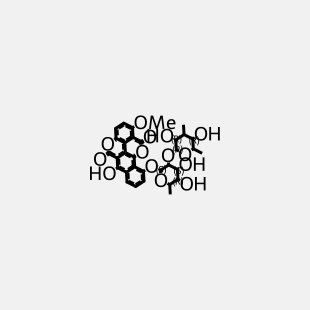 COc1ccc2oc(=O)c3c(O)c4cccc(O[C@@H]5OC(C)[C@H](O)[C@H](O)C5O[C@H]5OC(C)[C@H](O)C(C)[C@H]5O)c4c4oc(=O)c1c2c34